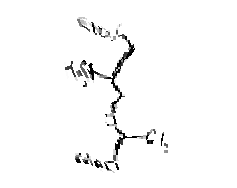 CCOC(=O)C=C(N)COC(C)OC